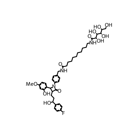 COc1ccc(C2C(CCC(O)c3ccc(F)cc3)C(=O)N2c2ccc(CNC(=O)CCCCCCCCCCNC(=O)C(O)C(O)C(O)C(O)CO)cc2)c(O)c1